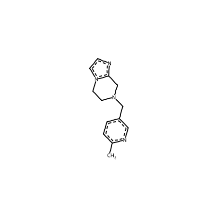 Cc1ccc(CN2CCn3ccnc3C2)cn1